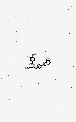 CC(C)Oc1ccc(C(=O)NC(CCO)Cc2ccc(-c3cn4cccc(N)c4n3)cc2)cc1C#N